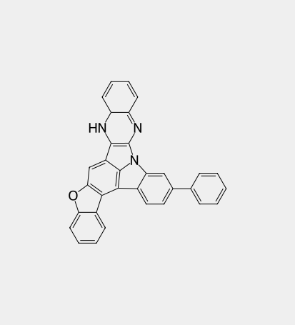 C1=CC2=Nc3c(c4cc5oc6ccccc6c5c5c6ccc(-c7ccccc7)cc6n3c45)NC2C=C1